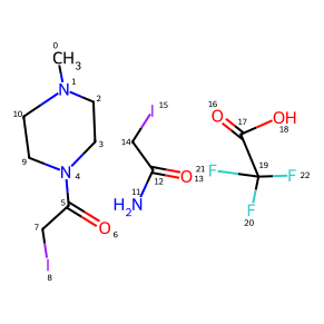 CN1CCN(C(=O)CI)CC1.NC(=O)CI.O=C(O)C(F)(F)F